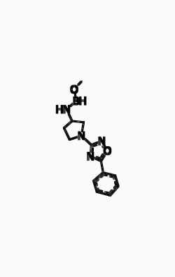 COBNC1CCN(c2noc(-c3ccccc3)n2)C1